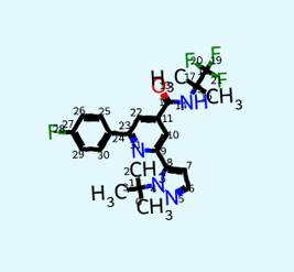 CC(C)(C)n1nccc1-c1cc(C(=O)NC(C)(C)C(F)(F)F)cc(-c2ccc(F)cc2)n1